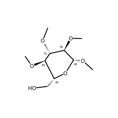 CO[C@@H]1O[C@H](CO)[C@@H](OC)[C@H](OC)[C@H]1OC